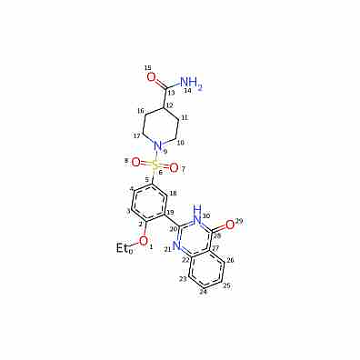 CCOc1ccc(S(=O)(=O)N2CCC(C(N)=O)CC2)cc1-c1nc2ccccc2c(=O)[nH]1